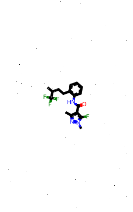 Cc1nn(C)c(F)c1C(=O)Nc1ccccc1CCC(C)C(F)(F)F